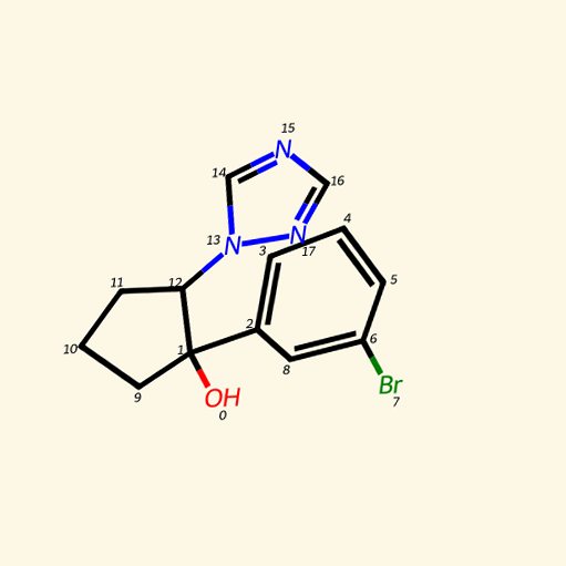 OC1(c2cccc(Br)c2)CCCC1n1cncn1